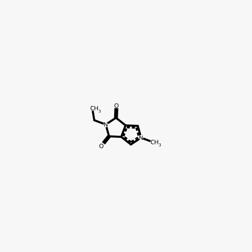 CCN1C(=O)c2cn(C)cc2C1=O